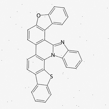 c1ccc2c(c1)nc1c3c(ccc4oc5ccccc5c43)c3ccc4c5ccccc5sc4c3n21